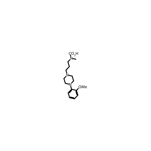 COc1ccccc1N1CCN(CCCN(C)C(=O)O)CC1